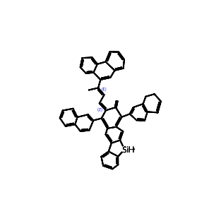 C=c1c(-c2ccc3c(c2)CCC=C3)c2cc3c(cc2c(-c2ccc4ccccc4c2)/c1=C/C=C(\C)c1cc2ccccc2c2ccccc12)-c1ccccc1[SiH]3C